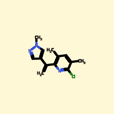 C=C(c1cnn(C)c1)c1nc(Cl)c(C)cc1C